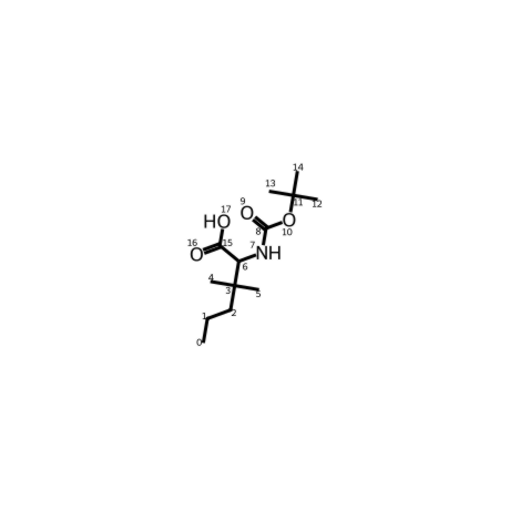 CCCC(C)(C)C(NC(=O)OC(C)(C)C)C(=O)O